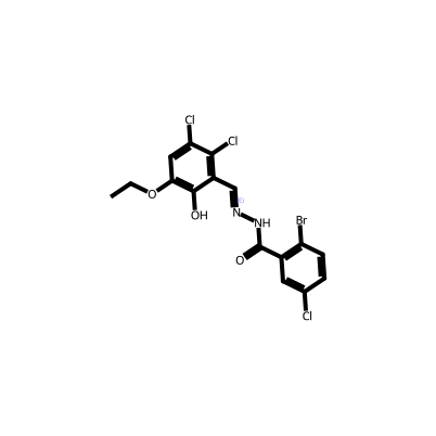 CCOc1cc(Cl)c(Cl)c(/C=N/NC(=O)c2cc(Cl)ccc2Br)c1O